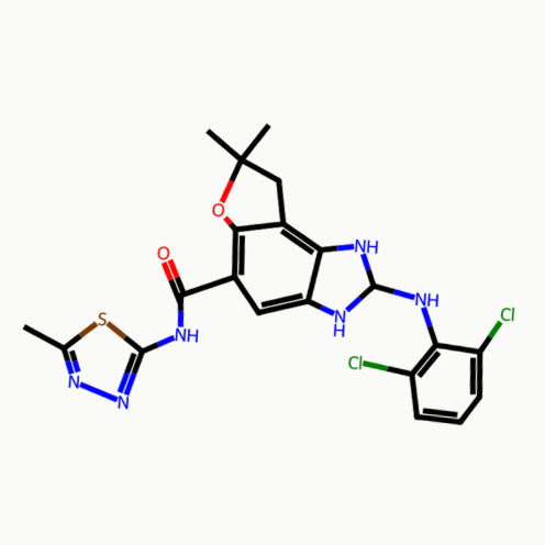 Cc1nnc(NC(=O)c2cc3c(c4c2OC(C)(C)C4)NC(Nc2c(Cl)cccc2Cl)N3)s1